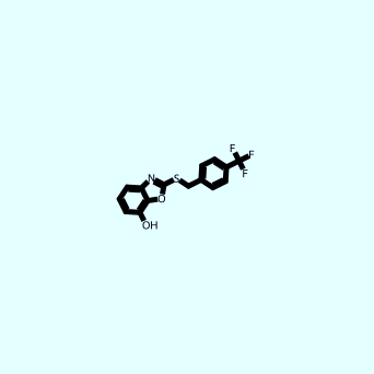 Oc1cccc2nc(SCc3ccc(C(F)(F)F)cc3)oc12